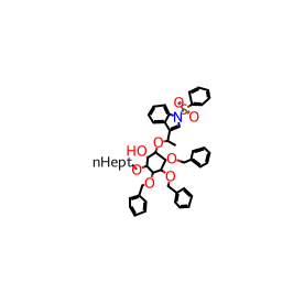 CCCCCCCOC1C(O)C(OC(C)c2cn(S(=O)(=O)c3ccccc3)c3ccccc23)C(OCc2ccccc2)C(OCc2ccccc2)C1OCc1ccccc1